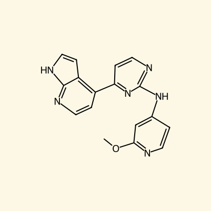 COc1cc(Nc2nccc(-c3ccnc4[nH]ccc34)n2)ccn1